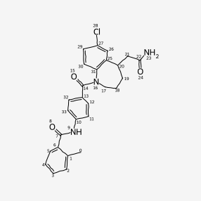 Cc1ccccc1C(=O)Nc1ccc(C(=O)N2CCCC(CC(N)=O)c3cc(Cl)ccc32)cc1